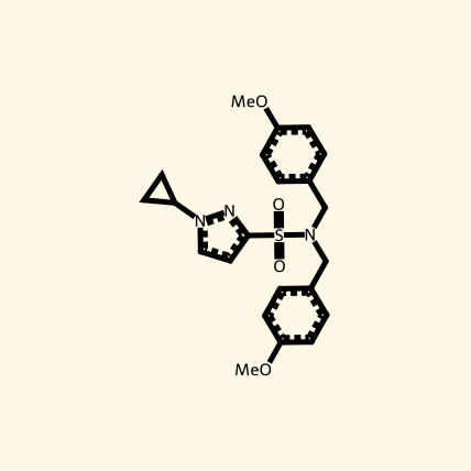 COc1ccc(CN(Cc2ccc(OC)cc2)S(=O)(=O)c2ccn(C3CC3)n2)cc1